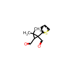 CC1(C)C([C]=O)C1([C]=O)c1cccs1